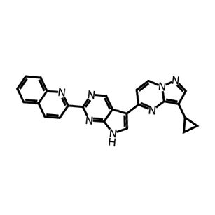 c1ccc2nc(-c3ncc4c(-c5ccn6ncc(C7CC7)c6n5)c[nH]c4n3)ccc2c1